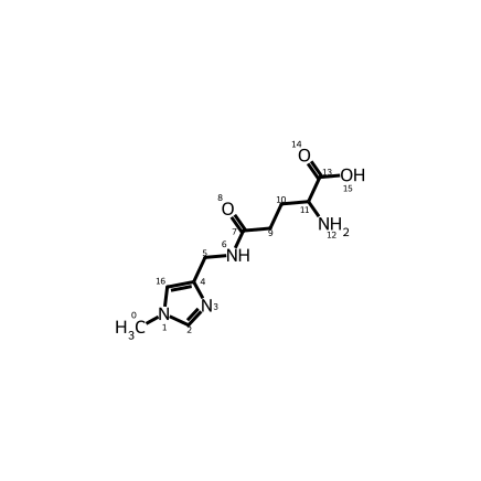 Cn1cnc(CNC(=O)CCC(N)C(=O)O)c1